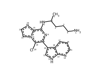 CC(CCCN)Nc1nc(-c2c[nH]c3ncccc23)c(Cl)n2ccnc12